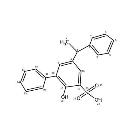 CC(c1ccccc1)c1cc(-c2ccccc2)c(O)c(S(=O)(=O)O)c1